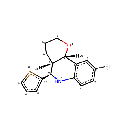 CCc1ccc2c(c1)[C@H]1OCCC[C@H]1[C@H](c1cccs1)N2